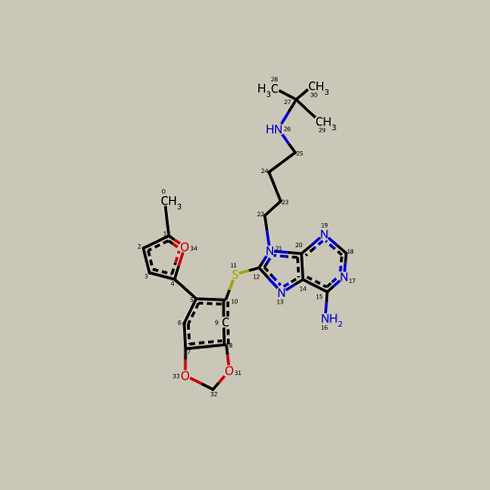 Cc1ccc(-c2cc3c(cc2Sc2nc4c(N)ncnc4n2CCCCNC(C)(C)C)OCO3)o1